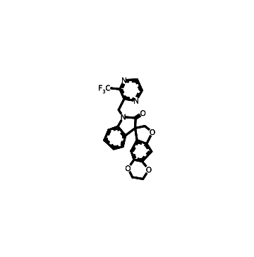 O=C1N(Cc2nccnc2C(F)(F)F)c2ccccc2C12COc1cc3c(cc12)OCCO3